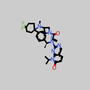 C=CC(=O)N1CC(N(C)C2(c3ccc([C@H](C)Nc4ncc5ccc(=O)n(C(C)C)c5n4)cc3)CCC(F)(F)CC2)C1